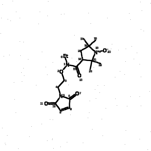 CCN(OCCN1C(=O)C=CC1=O)C(=O)C1CC(C)(C)[N+]([O-])C1(C)C